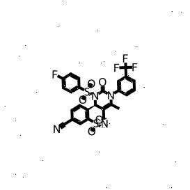 CC1=C(C#N)[C@@H](c2ccc(C#N)cc2S(C)(=O)=O)N(S(=O)(=O)c2ccc(F)cc2)C(=O)N1c1cccc(C(F)(F)F)c1